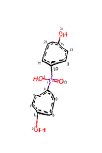 O=P(O)(c1ccc(O)cc1)c1ccc(O)cc1